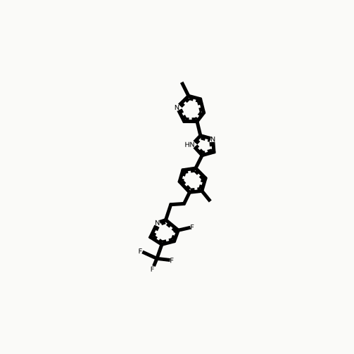 Cc1ccc(-c2ncc(-c3ccc(CCc4ncc(C(F)(F)F)cc4F)c(C)c3)[nH]2)cn1